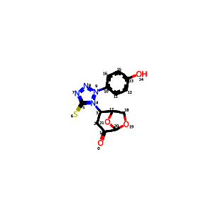 O=C1CC(n2c(=S)nnn2-c2ccc(O)cc2)C2COC1O2